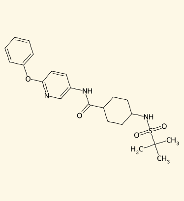 CC(C)(C)S(=O)(=O)NC1CCC(C(=O)Nc2ccc(Oc3ccccc3)nc2)CC1